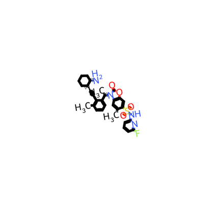 Cc1cc2c(cc1S(=O)(=O)Nc1cccc(F)n1)oc(=O)n2[C@H](C)c1cccc(C)c1C#C[C@H]1CCCC[C@H]1N